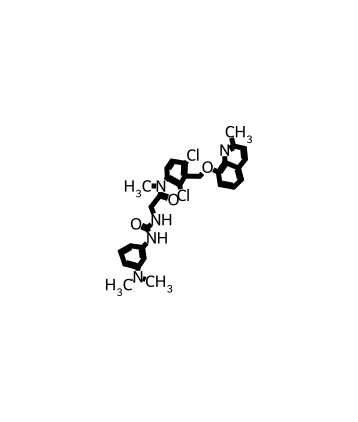 Cc1ccc2cccc(OCc3c(Cl)ccc(N(C)C(=O)CNC(=O)Nc4cccc(N(C)C)c4)c3Cl)c2n1